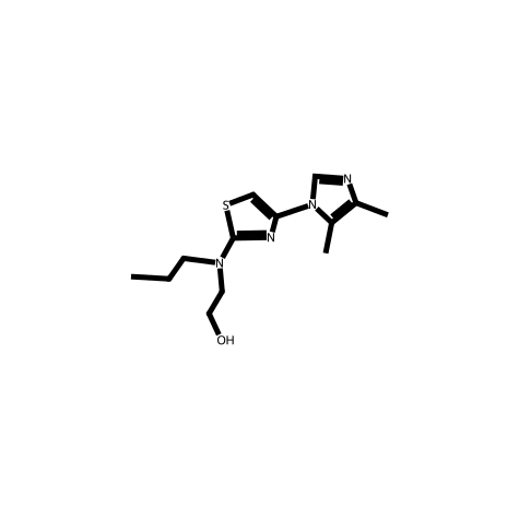 CCCN(CCO)c1nc(-n2cnc(C)c2C)cs1